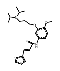 COc1ccc(NC(=O)C=Cc2cccs2)cc1OCCCN(C(C)C)C(C)C